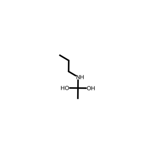 CCCNC(C)(O)O